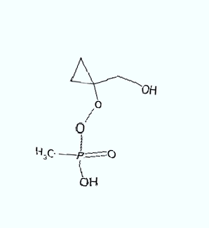 CP(=O)(O)OOC1(CO)CC1